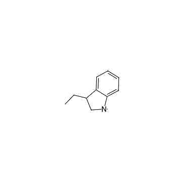 CCC1C[N]c2ccccc21